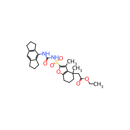 CCOC(=O)CC1(C)CCCc2oc(S(=O)(=O)NC(=O)Nc3c4c(cc5c3CCC5)CCC4)c(C)c21